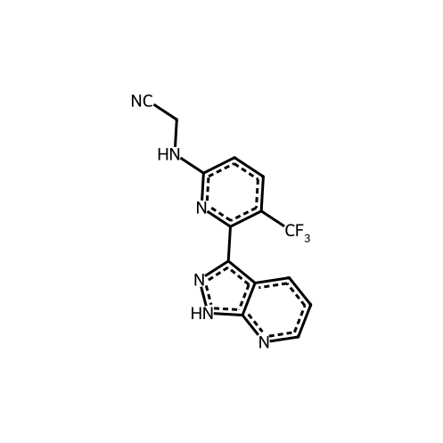 N#CCNc1ccc(C(F)(F)F)c(-c2n[nH]c3ncccc23)n1